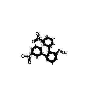 O=Pc1cccc(-c2cccc([N+](=O)[O-])c2)c1-c1cccc([N+](=O)[O-])c1